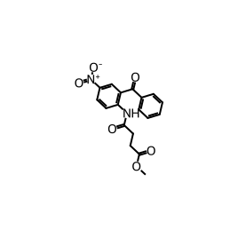 COC(=O)CCC(=O)Nc1ccc([N+](=O)[O-])cc1C(=O)c1ccccc1